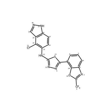 FC(F)(F)c1nc2cccc(-c3nnc(Nc4ccc5[nH]ncc5c4Cl)s3)c2o1